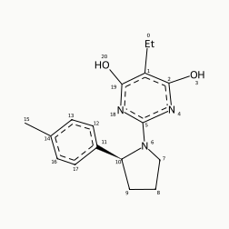 CCc1c(O)nc(N2CCC[C@H]2c2ccc(C)cc2)nc1O